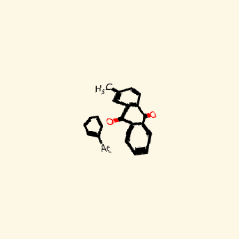 CC(=O)c1ccccc1.Cc1ccc2c(c1)C(=O)c1ccccc1C2=O